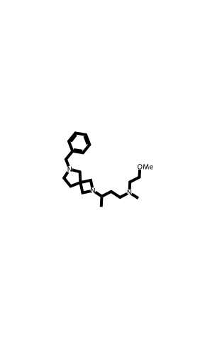 COCCN(C)CCC(C)N1CC2(CCN(Cc3ccccc3)C2)C1